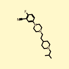 CC(C)CN1CCC(CCN2CCN(c3ccc(F)c(C#N)c3)CC2)CC1